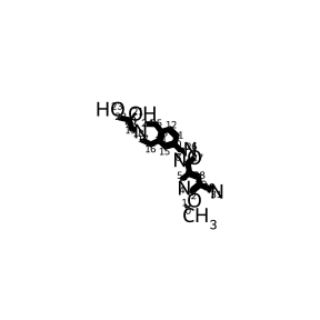 CCOc1ncc(-c2nc(-c3ccc4c(c3)CCN(C[C@H](O)CO)CC4)no2)cc1C#N